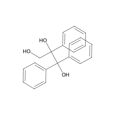 OCC(O)(c1ccccc1)C(O)(c1ccccc1)c1ccccc1